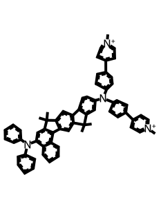 C[n+]1ccc(-c2ccc(N(c3ccc(-c4cc[n+](C)cc4)cc3)c3ccc4c(c3)C(C)(C)c3cc5c(cc3-4)C(C)(C)c3cc(N(c4ccccc4)c4ccccc4)c4ccccc4c3-5)cc2)cc1